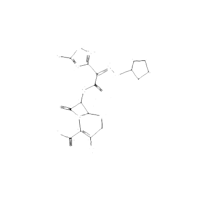 Nc1nc(/C(=N/OC2CCCC2)C(=O)NC2C(=O)N3C(C(=O)O)=C(O)CS[C@H]23)ns1